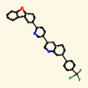 FC(F)(F)c1ccc(-c2ccc3cc(-c4ccc(-c5ccc6oc7ccccc7c6c5)nc4)cnc3c2)cc1